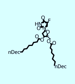 CCCCCCCCCCCCCCCCCC(=O)OC[C@@H]1O[C@H](n2cc(F)c(=O)[nH]c2=O)CC1OC(=O)CCCCCCCCCCCCCCCCC